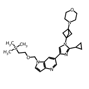 C[Si](C)(C)CCOCn1ccc2ncc(-c3cn(C45CC(N6CCOCC6)(C4)C5)c(C4CC4)n3)cc21